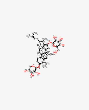 CO[C@H]1C=C2[C@@H](CC[C@H](O[C@@H]3OC[C@@H](O)[C@H](O)[C@H]3O)C2(C)C)[C@]2(C)CC[C@]3(C)[C@@H]([C@H](C)CCC=C(C)C)[C@@H](O[C@@H]4O[C@H](CO)[C@@H](O)[C@H](O)[C@H]4O)C[C@@]3(C)[C@H]12